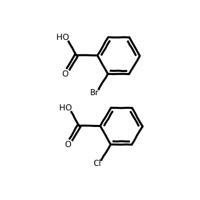 O=C(O)c1ccccc1Br.O=C(O)c1ccccc1Cl